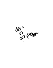 [Mg+2].[Mg+2].[Mg+2].[Mg+2].[O-]C([O-])=S.[O-]C([O-])=S.[O-]C([O-])=S.[O-]C([O-])=S